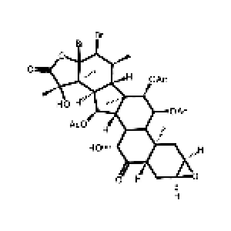 CC(=O)O[C@H]1[C@@H]2[C@H]([C@H](C)C(Br)C3(Br)OC(=O)[C@@](C)(O)[C@]23C)[C@]2(C)[C@@H]1C1C([C@H](OC(C)=O)[C@@H]2OC(C)=O)[C@@]2(C)C[C@H]3O[C@H]3C[C@@H]2C(=O)[C@@H]1O